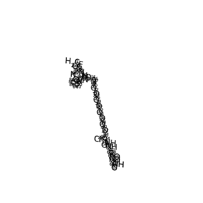 C=C(F)C(=O)N1CCN(c2nc(OC[C@@H]3CCCN3CCOCCOCCOCCOCCOCCOCCOCCOCCc3cc(Cl)cc(NC(=O)NCc4ccc5c(c4)CN(C4CCC(=O)NC4=O)C5=O)c3)nc3c2CCN(c2cccc4cccc(Cl)c24)C3)C[C@@H]1CC#N